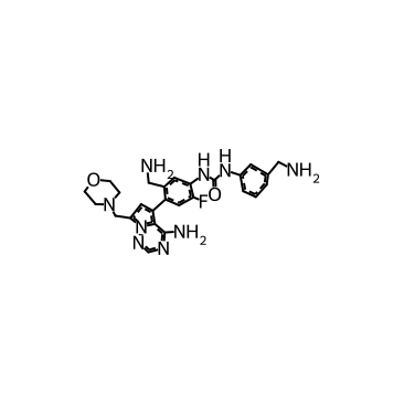 NCc1cccc(NC(=O)Nc2cc(CN)c(-c3cc(CN4CCOCC4)n4ncnc(N)c34)cc2F)c1